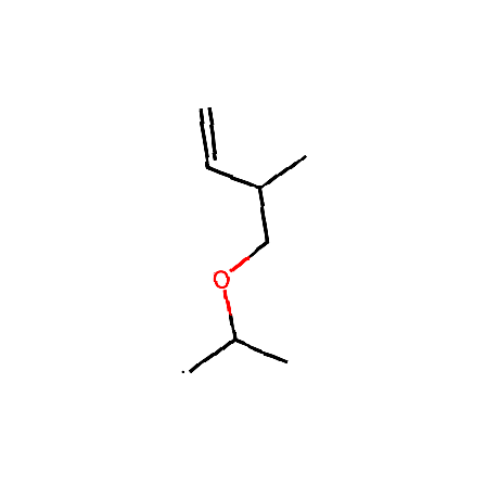 [CH2]C(C)OCC(C)C=C